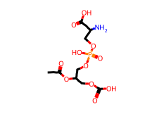 CC(=O)OC(COC(=O)O)COP(=O)(O)OCC(N)C(=O)O